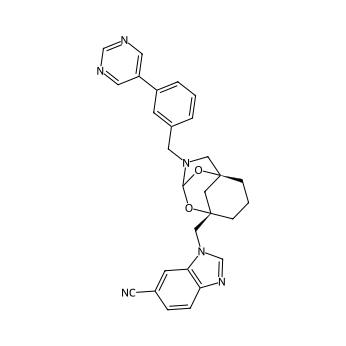 N#Cc1ccc2ncn(C[C@@]34CCC[C@@]5(CN(Cc6cccc(-c7cncnc7)c6)C(O5)O3)C4)c2c1